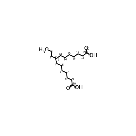 CCCP(CCCCCCC(=O)O)CCCCCCC(=O)O